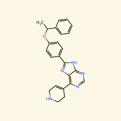 CC(Oc1ccc(-c2nc3c(C4=CCNCC4)ncnc3[nH]2)cc1)c1ccccc1